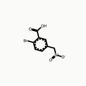 O=C(O)c1cc(C[N+](=O)[O-])ccc1Br